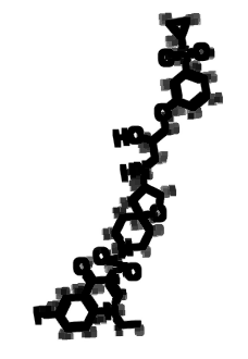 CCn1cc(S(=O)(=O)N2CCC3(CC2)C[C@@H](NCC(O)COc2cccc(S(=O)(=O)C4CC4)c2)CO3)c(=O)c2cc(F)ccc21